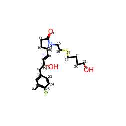 Cc1cc(C[C@H](O)/C=C/[C@H]2CCC(=O)N2CCSCCCCO)ccc1F